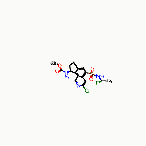 CC(C)C(F)NS(=O)(=O)c1cc2c(c3cnc(Cl)cc13)C(NC(=O)OC(C)(C)C)CC2